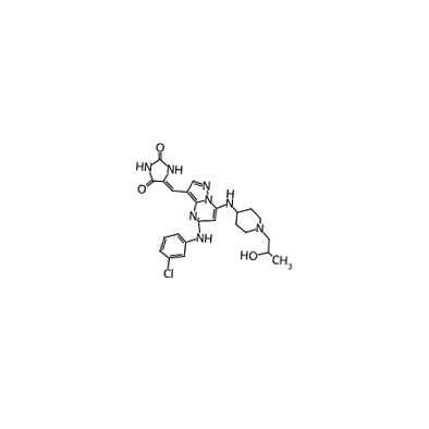 CC(O)CN1CCC(Nc2cc(Nc3cccc(Cl)c3)nc3c(/C=C4\NC(=O)NC4=O)cnn23)CC1